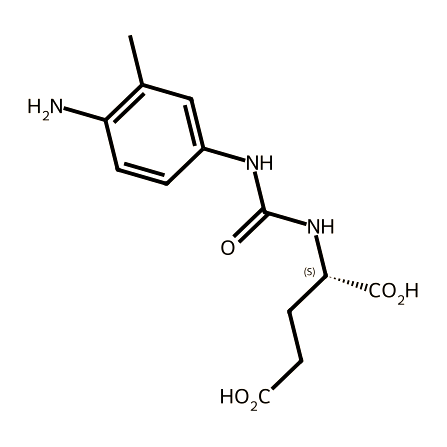 Cc1cc(NC(=O)N[C@@H](CCC(=O)O)C(=O)O)ccc1N